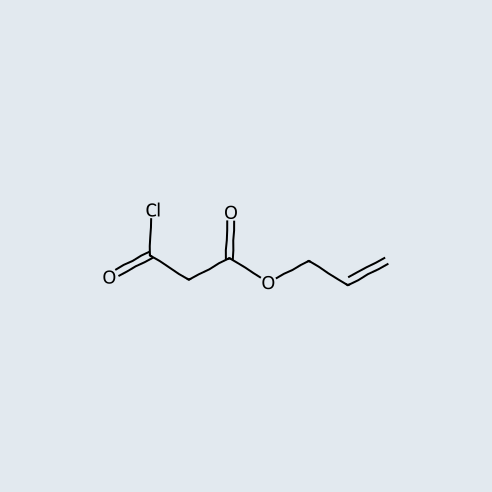 C=CCOC(=O)CC(=O)Cl